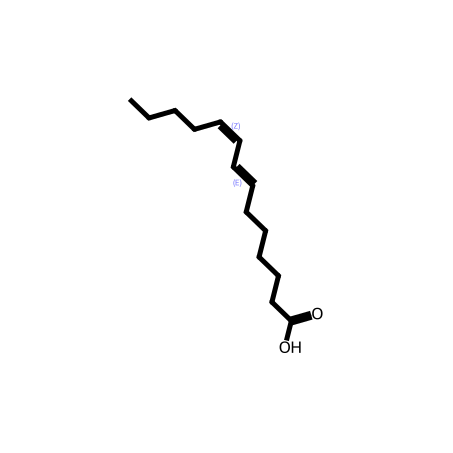 CCCC/C=C\C=C\CCCCCC(=O)O